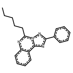 CCCCCc1nc2ccccc2c2nc(-c3ccccc3)nn12